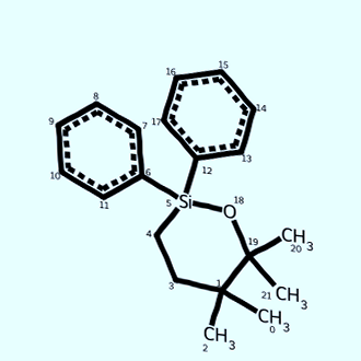 CC1(C)CC[Si](c2ccccc2)(c2ccccc2)OC1(C)C